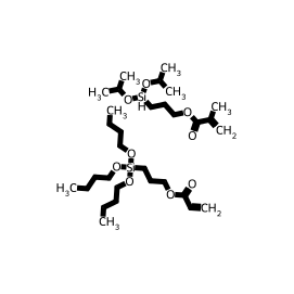 C=C(C)C(=O)OCCC[SiH](OC(C)C)OC(C)C.C=CC(=O)OCCC[Si](OCCCC)(OCCCC)OCCCC